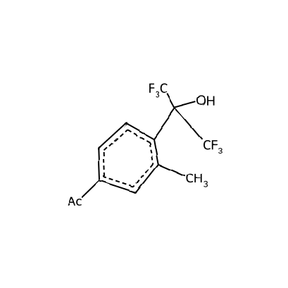 CC(=O)c1ccc(C(O)(C(F)(F)F)C(F)(F)F)c(C)c1